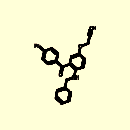 C#CCOc1ccc(NCc2ccccc2)c(C(=O)c2ccc(C(C)C)cc2)c1